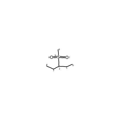 CC[C](CC)S(C)(=O)=O